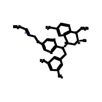 CCOC(=O)N1c2ccc(C(F)(F)F)cc2[C@@H](N(Cc2cc(C(F)(F)F)cc(C(F)(F)F)c2)c2ncc(OC/C=C/C(=O)O)cn2)C[C@H]1CC